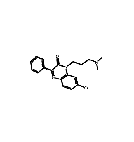 CN(C)CCCn1c(=O)c(-c2ccccc2)nc2ccc(Cl)cc21